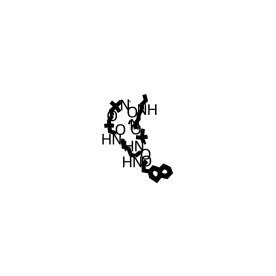 C=NCC(C)(C)COCC(C)(C)CC(=O)NCCCCC(NC(=O)Cc1ccc2ccccc2c1)C(=O)NCC(C)(C)CON(C)CC(=O)NCCC